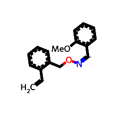 C=Cc1ccccc1CO/N=[C]\c1ccccc1OC